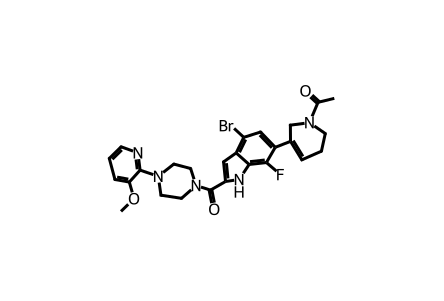 COc1cccnc1N1CCN(C(=O)c2cc3c(Br)cc(C4=CCCN(C(C)=O)C4)c(F)c3[nH]2)CC1